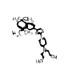 CC1(C)CCC(C)(C)c2cc(-c3csc(N4CCC(N(CCO)CCO)CC4)n3)ccc21